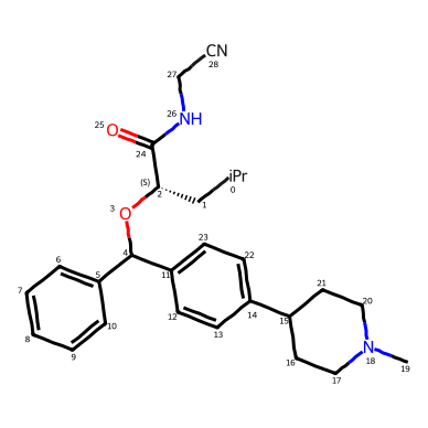 CC(C)C[C@H](OC(c1ccccc1)c1ccc(C2CCN(C)CC2)cc1)C(=O)NCC#N